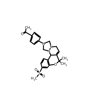 CC(=O)c1ccc(N2CN3CC=C4C(c5ccc(S(C)(=O)=O)cc5OC4(C)C)N3C2)cc1